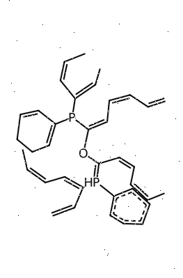 C=C/C=C\C=C(\OC(/C=C\C=C/C)=[PH](\C(C=C)=C\C=C/C)c1ccccc1)P(C1=CCCC=C1)C(/C=C\C)=C/C